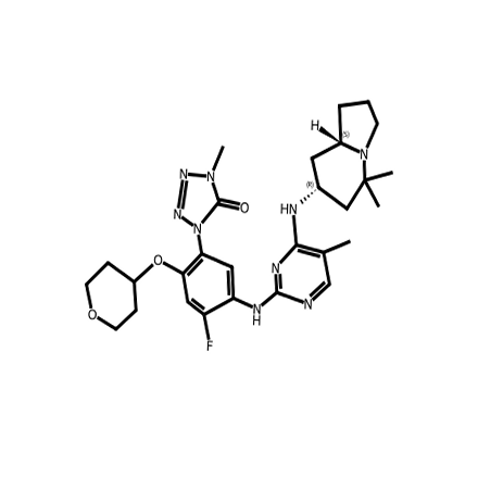 Cc1cnc(Nc2cc(-n3nnn(C)c3=O)c(OC3CCOCC3)cc2F)nc1N[C@@H]1C[C@@H]2CCCN2C(C)(C)C1